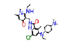 CCNc1c(CNC(=O)c2cc(Cl)cc(N(CC)[C@H]3CC[C@H](N(C)C)CC3)c2C)c(=O)cc(C)n1C